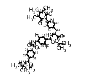 Cc1c(C)n(C)c(=O)n(-c2ccc(C[C@H](NC(=O)c3cc(F)c(NS(=O)(=O)c4ccc(C(=O)NC(C)(C)C)cc4)cc3F)C(=O)OC(C)C)cn2)c1=O